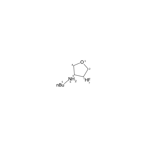 C1CCOC1.CCCCN.F